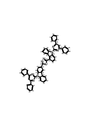 c1ccc(-c2cc(-c3ccccc3)nc(-n3c4ccccc4c4cc(-c5nnc(-c6cccc7c6c6ccccc6n7-c6nc(-c7ccccc7)cc(-c7ccccc7)n6)o5)ccc43)n2)cc1